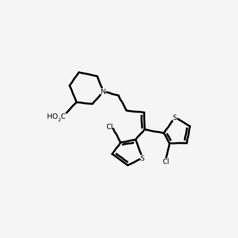 O=C(O)C1CCCN(CCC=C(c2sccc2Cl)c2sccc2Cl)C1